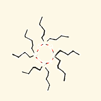 CCCC[Si]1(CCCC)O[Si](CCCC)(CCCC)O[Si](CCCC)(CCCC)O[Si](CCCC)(CCCC)O1